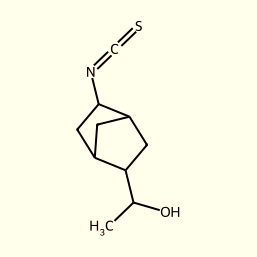 CC(O)C1CC2CC1CC2N=C=S